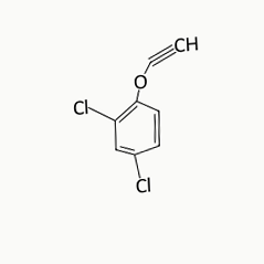 C#COc1ccc(Cl)cc1Cl